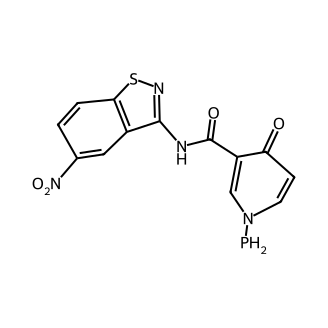 O=C(Nc1nsc2ccc([N+](=O)[O-])cc12)c1cn(P)ccc1=O